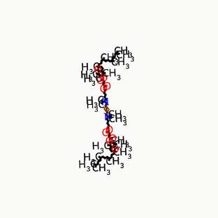 Cc1c(C)c2c(c(C)c1OC(=O)CCC(=O)OCCCCCN(CCSSCCN(CCCCCOC(=O)CCC(=O)Oc1c(C)c(C)c3c(c1C)CCC(C)(CCCC(C)CCCC(C)CCCC(C)C)O3)C(C)C)C(C)C)CCC(C)(CCCC(C)CCCC(C)CCCC(C)C)O2